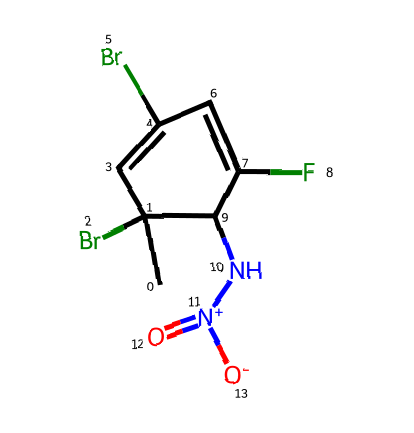 CC1(Br)C=C(Br)C=C(F)C1N[N+](=O)[O-]